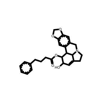 O=C(CCCc1ccccc1)OC1C(O)C=C2CCN3Cc4cc5c(cc4C1C23)OCO5